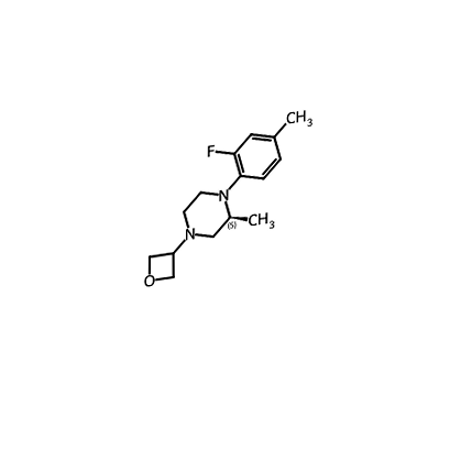 Cc1ccc(N2CCN(C3COC3)C[C@@H]2C)c(F)c1